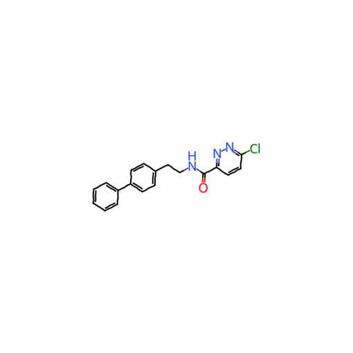 O=C(NCCc1ccc(-c2ccccc2)cc1)c1ccc(Cl)nn1